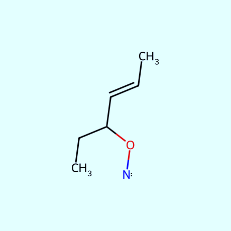 CC=CC(CC)O[N]